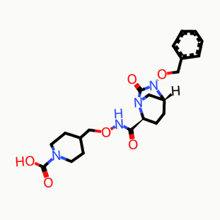 O=C(NOCC1CCN(C(=O)O)CC1)[C@@H]1CC[C@@H]2CN1C(=O)N2OCc1ccccc1